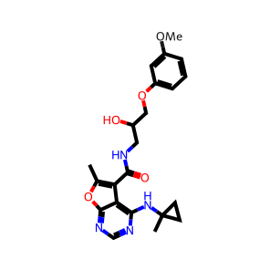 COc1cccc(OCC(O)CNC(=O)c2c(C)oc3ncnc(NC4(C)CC4)c23)c1